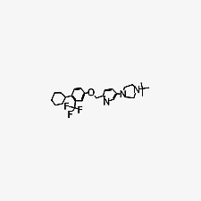 CC(C)(C)N1CCN(c2ccc(COc3ccc(C4CCCCC4)c(C(F)(F)F)c3)nc2)CC1